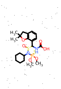 COP(=S)(OC)N(C1CCCCC1)[S+]([O-])C(NC(=O)O)c1cccc2c1OC(C)(C)C2